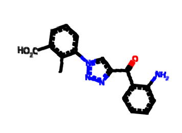 Cc1c(C(=O)O)cccc1-n1cc(C(=O)c2ccccc2N)nn1